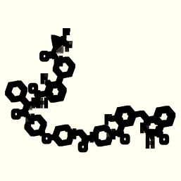 O=C(N[C@@H](C(=O)N1CCC(OC2CCN(CC(=O)N3CCN(C(=O)c4cc(Cc5n[nH]c(=O)c6ccccc56)ccc4F)CC3)CC2)CC1)C1CCCCC1)c1cccc(C2CCCN(C(=O)[C@H]3CC3(F)F)C2)c1F